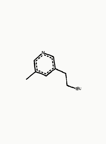 Cc1cncc(CCC(C)(C)C)c1